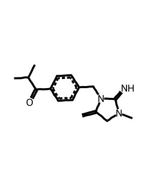 C=C1CN(C)C(=N)N1Cc1ccc(C(=O)C(C)C)cc1